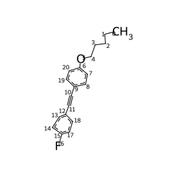 CCCCCOc1ccc(C#Cc2ccc(F)cc2)cc1